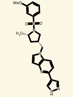 COc1cccc(S(=O)(=O)N2C[C@H](Cn3ccc4nc(-c5cn[nH]c5)ccc43)C[C@@H]2C)c1